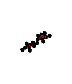 c1ccc(-c2ccc(N(c3cccc(-c4ccccc4)c3)c3ccccc3-c3cccc(-c4cccc5c4c4ccccc4n5-c4cccc(-c5ccc6c(c5)cc(-c5ccc(N(c7cccc(-c8ccccc8)c7)c7ccccc7-c7cccc(-c8cccc9c8c8ccccc8n9-c8ccccc8)c7)cc5)c5ccccc56)c4)c3)cc2)cc1